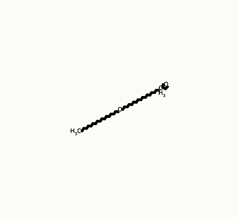 C1CCOC1.CCCCCCCCCCCCCCCCCCOCCCCCCCCCCCCCCCCCC